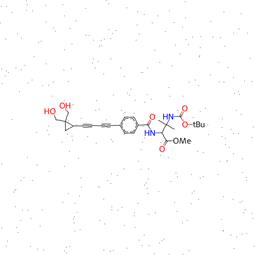 COC(=O)C(NC(=O)c1ccc(C#CC#CC2CC2(CO)CO)cc1)C(C)(C)NC(=O)OC(C)(C)C